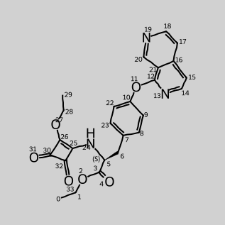 CCOC(=O)[C@H](Cc1ccc(Oc2nccc3ccncc23)cc1)Nc1c(OCC)c(=O)c1=O